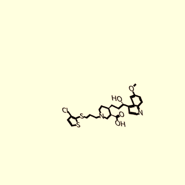 COc1ccc2nccc([C@@H](O)CC[C@@H]3CCN(CCCSc4sccc4Cl)C[C@@H]3C(=O)O)c2c1